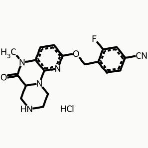 CN1C(=O)C2CNCCN2c2nc(OCc3ccc(C#N)cc3F)ccc21.Cl